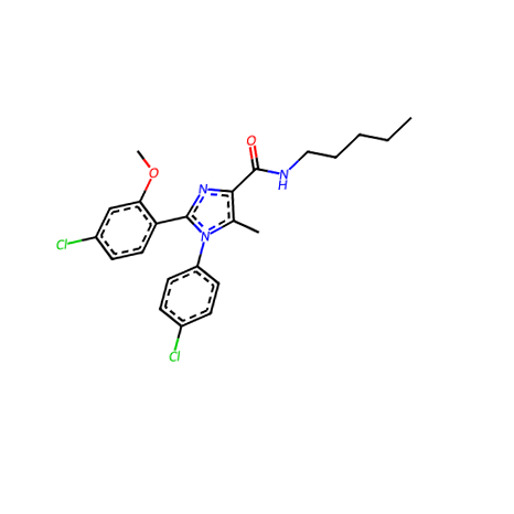 CCCCCNC(=O)c1nc(-c2ccc(Cl)cc2OC)n(-c2ccc(Cl)cc2)c1C